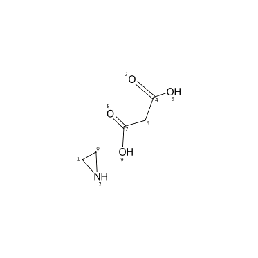 C1CN1.O=C(O)CC(=O)O